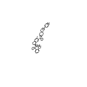 Cc1cc2c(cc1C(=O)N1CCC3(CC1)CCN(c1ccncc1)C3)[C@H](NC(=O)c1ccccc1Cl)CC2